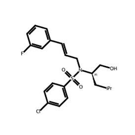 CC(C)C[C@H](CO)N(CC=Cc1cccc(F)c1)S(=O)(=O)c1ccc(Cl)cc1